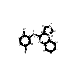 Fc1ccc(F)c(Nc2nc3ccccc3n3cncc23)c1